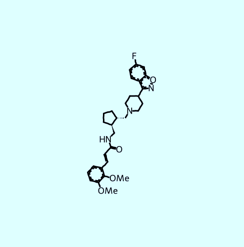 COc1cccc(/C=C/C(=O)NC[C@H]2CCC[C@@H]2CN2CCC(c3noc4cc(F)ccc34)CC2)c1OC